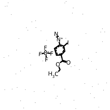 CCOC(=O)c1ccc([N+]#N)c(I)c1.F[B-](F)(F)F